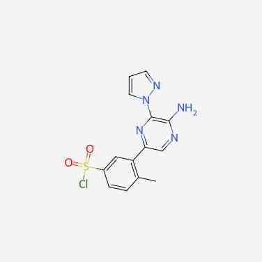 Cc1ccc(S(=O)(=O)Cl)cc1-c1cnc(N)c(-n2cccn2)n1